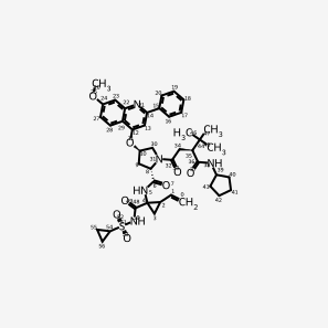 C=CC1CC1(NC(=O)[C@@H]1C[C@@H](Oc2cc(-c3ccccc3)nc3cc(OC)ccc23)CN1C(=O)C[C@H](C(=O)NC1CCCC1)C(C)(C)C)C(=O)NS(=O)(=O)C1CC1